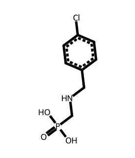 O=P(O)(O)CNCc1ccc(Cl)cc1